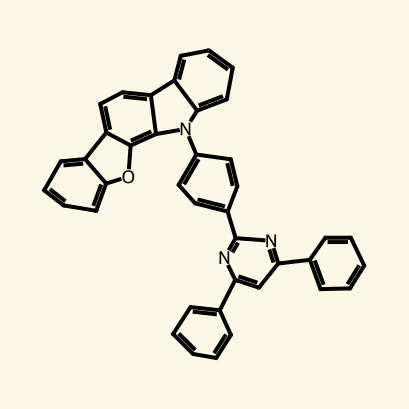 c1ccc(-c2cc(-c3ccccc3)nc(-c3ccc(-n4c5ccccc5c5ccc6c7ccccc7oc6c54)cc3)n2)cc1